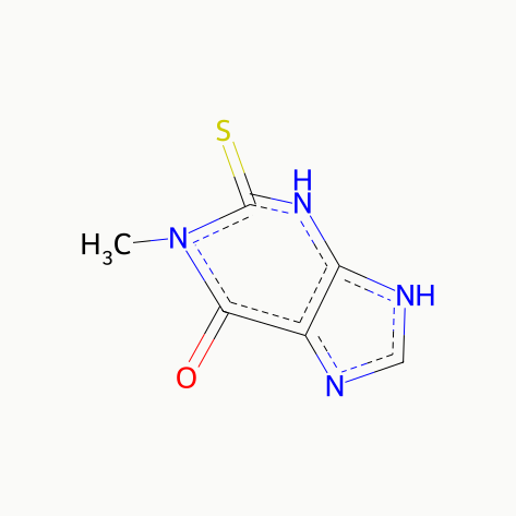 Cn1c(=S)[nH]c2[nH]cnc2c1=O